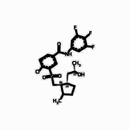 CC1CC[C@@H](C[C@H](C)O)[C@@H]1CS(=O)(=O)c1cc(C(=O)Nc2cc(F)c(F)c(F)c2)ccc1Cl